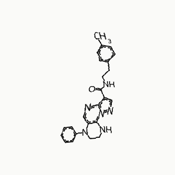 Cc1ccc(CCNC(=O)c2cnn3c4c(cnc23)N(c2ccccc2)CCN4)cc1